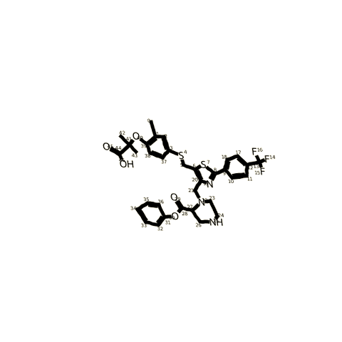 Cc1cc(SCc2sc(-c3ccc(C(F)(F)F)cc3)nc2CN2CCNCC2C(=O)Oc2ccccc2)ccc1OC(C)(C)C(=O)O